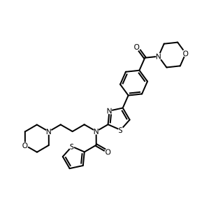 O=C(c1ccc(-c2csc(N(CCCN3CCOCC3)C(=O)c3cccs3)n2)cc1)N1CCOCC1